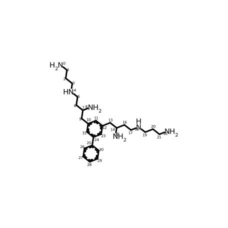 NCCCNCCC(N)Cc1cc(CC(N)CCNCCCN)cc(-c2ccccc2)c1